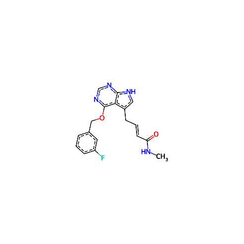 CNC(=O)C=CCc1c[nH]c2ncnc(OCc3cccc(F)c3)c12